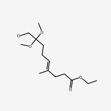 CCOC(=O)CCC(C)=CCCC(CCl)(OC)OC